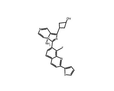 N[N+]12C=CN=CC1=C(C1CC(O)C1)N=C2c1ccc2ccc(-c3cccs3)nc2c1F